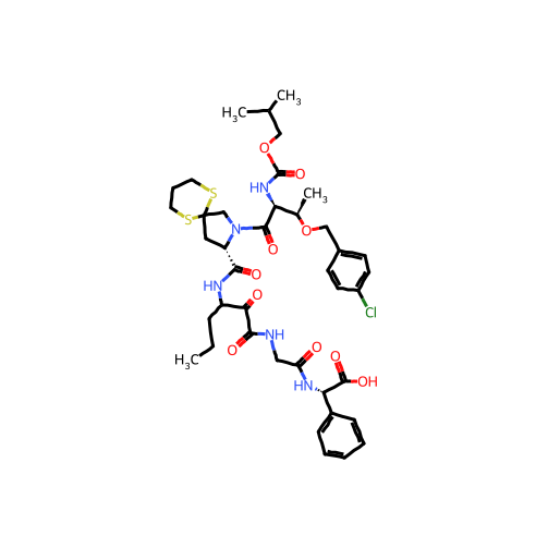 CCCC(NC(=O)[C@@H]1CC2(CN1C(=O)[C@@H](NC(=O)OCC(C)C)[C@@H](C)OCc1ccc(Cl)cc1)SCCCS2)C(=O)C(=O)NCC(=O)N[C@H](C(=O)O)c1ccccc1